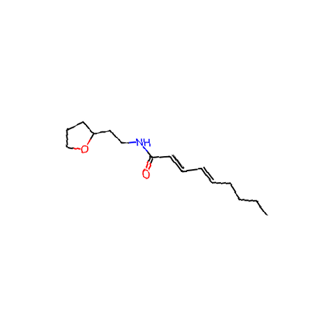 CCCC/C=C/C=C/C(=O)NCCC1CCCO1